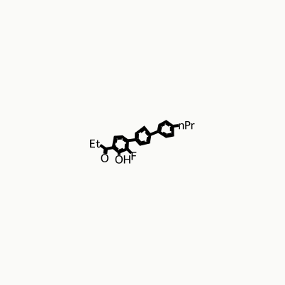 CCCc1ccc(-c2ccc(-c3ccc(C(=O)CC)c(O)c3F)cc2)cc1